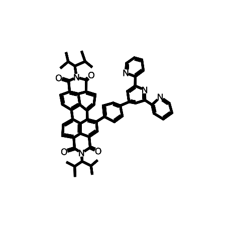 CC(C)C(C(C)C)N1C(=O)c2ccc3c4ccc5c6c(cc(-c7ccc(-c8cc(-c9ccccn9)nc(-c9ccccn9)c8)cc7)c(c7ccc(c2c37)C1=O)c64)C(=O)N(C(C(C)C)C(C)C)C5=O